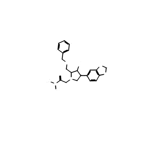 CCCCN(CCCC)C(=O)CN1CC(c2ccc3c(c2)OCO3)C(C(=O)OCC)C1COCc1ccccc1